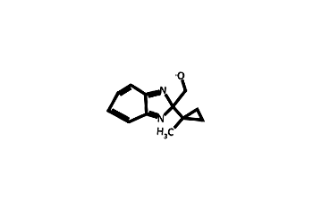 CC1(C2(C[O])N=c3ccccc3=N2)CC1